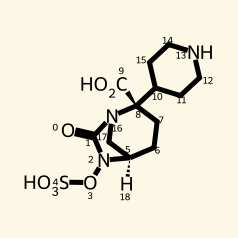 O=C1N(OS(=O)(=O)O)[C@@H]2CC[C@@](C(=O)O)(C3CCNCC3)N1C2